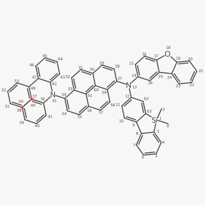 C[Si]1(C)c2ccccc2-c2ccc(N(c3ccc4oc5ccccc5c4c3)c3ccc4ccc5c(N(c6ccccc6)c6ccccc6-c6ccccc6)ccc6ccc3c4c65)cc21